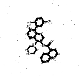 O=C(Nc1cnc2c(-c3cc(C(F)(F)F)ccc3F)c(F)ccc2c1N1CCOCC1)c1ccnc2ccccc12